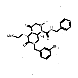 Bc1cccc(CN2C[C@H]3N(C(=O)CN(CC)N3C(=O)NCc3ccccc3)[C@@H](CCSC)C2=O)c1